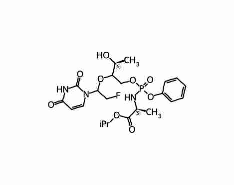 CC(C)OC(=O)[C@H](C)NP(=O)(OCC(OC(CF)n1ccc(=O)[nH]c1=O)[C@H](C)O)Oc1ccccc1